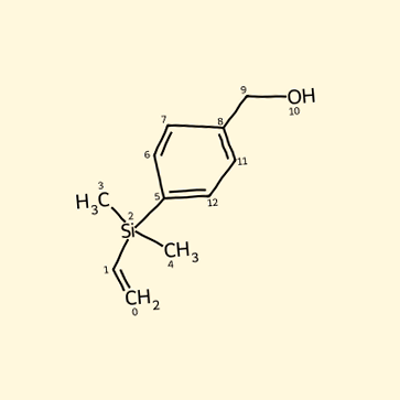 C=C[Si](C)(C)c1ccc(CO)cc1